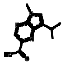 CC(C)c1cn(C)c2ncc(C(=O)O)nc12